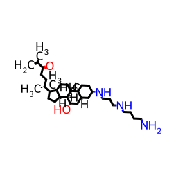 C=C(C)C(=O)CC[C@@H](C)C1CC[C@H]2[C@@H]3[C@H](O)C[C@H]4C[C@@H](NCCCNCCCCN)CC[C@]4(C)[C@H]3CC[C@]12C